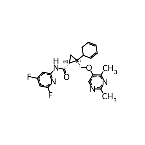 Cc1ncc(OC[C@@]2(C3C=CC=CC3)C[C@H]2C(=O)Nc2cc(F)cc(F)n2)c(C)n1